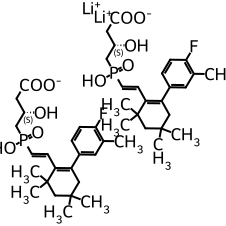 Cc1cc(C2=C(C=CP(=O)(O)C[C@@H](O)CC(=O)[O-])C(C)(C)CC(C)(C)C2)ccc1F.Cc1cc(C2=C(C=CP(=O)(O)C[C@@H](O)CC(=O)[O-])C(C)(C)CC(C)(C)C2)ccc1F.[Li+].[Li+]